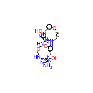 Nc1nc2nc3c1nc(O)n3Cc1cccc(c1)OC(Nc1nc3nc4c1nc(O)n4Cc1cccc(c1)OCCCCCN3)COCCN2